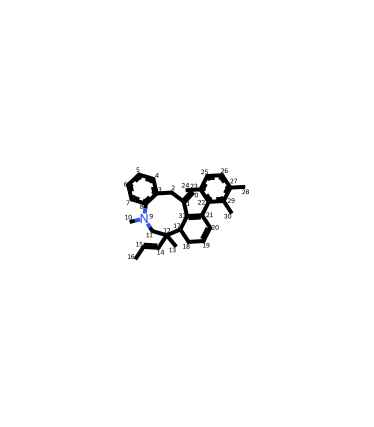 C=C1Cc2ccccc2N(C)CC(C)(C=CC)C2CC=CC(c3c(C)ccc(C)c3C)=C12